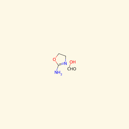 NC1=NCCO1.O=CO